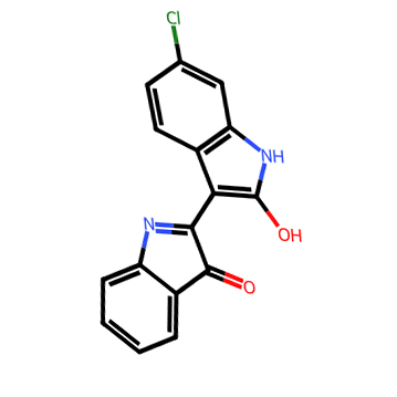 O=C1C(c2c(O)[nH]c3cc(Cl)ccc23)=Nc2ccccc21